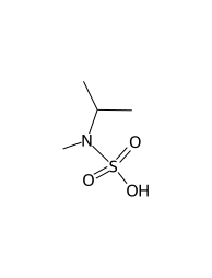 CC(C)N(C)S(=O)(=O)O